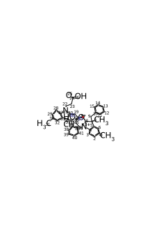 Cc1ccc2c(c1)C(C)(Cc1ccccc1)C(/C=C/C=C1/N(CCC(=O)O)c3ccc(C)cc3C1(C)Cc1ccccc1)=[N+]2CCC(=O)O